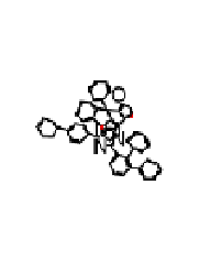 c1ccc(-c2ccc(-c3nc(-c4cccc(-c5ccccc5)c4-c4ccccc4)nc(-c4cccc5c4C4(c6ccccc6O5)c5ccccc5-c5ccccc54)n3)cc2)cc1